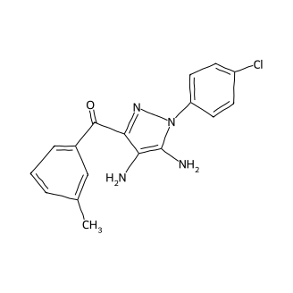 Cc1cccc(C(=O)c2nn(-c3ccc(Cl)cc3)c(N)c2N)c1